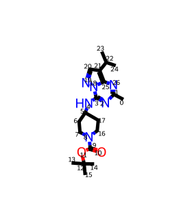 Cc1nc(NC2CCN(C(=O)OC(C)(C)C)CC2)n2ncc(C(C)C)c2n1